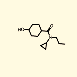 CCCN(C(=O)C1CCC(O)CC1)C1CC1